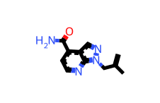 C=C(C)Cn1ncc2c(C(N)=O)ccnc21